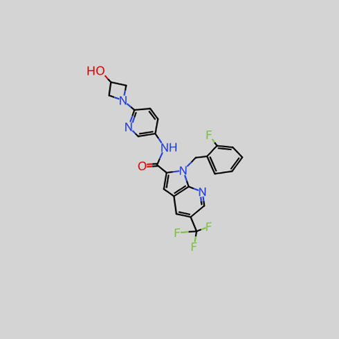 O=C(Nc1ccc(N2CC(O)C2)nc1)c1cc2cc(C(F)(F)F)cnc2n1Cc1ccccc1F